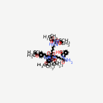 CC(C)(C)OC(=O)N=C(NCCCCCC[C@@](Cc1ccc(OC(C)(C)C)cc1)(NC(=O)[C@@H](N)Cc1ccc(OC(C)(C)C)cc1)C(=O)N(CCCC[C@@H](C(N)=O)N(CCO)Cc1ccccc1)C(=O)OC(C)(C)C)NC(=O)OC(C)(C)C